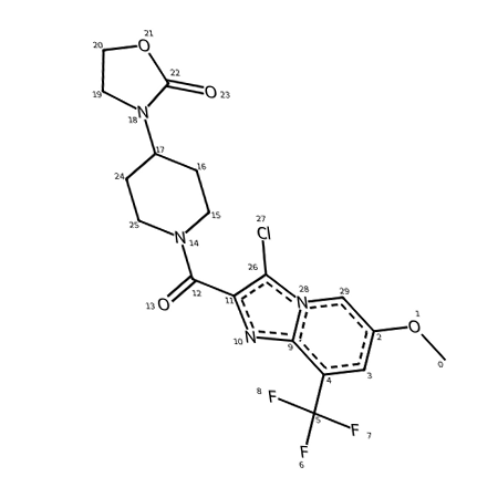 COc1cc(C(F)(F)F)c2nc(C(=O)N3CCC(N4CCOC4=O)CC3)c(Cl)n2c1